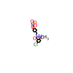 COc1ccc(Cl)cc1C(=O)NCCc1ccc(OC(=O)N=S(=O)=O)cc1